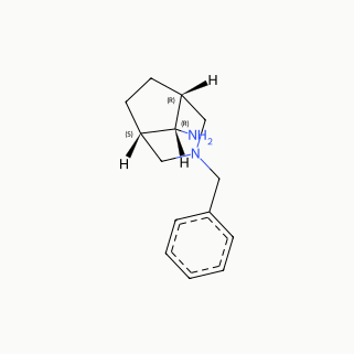 N[C@H]1[C@@H]2CC[C@H]1CN(Cc1ccccc1)C2